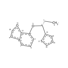 [CH2]C[C@@H](Oc1cccc2ccoc12)c1cccs1